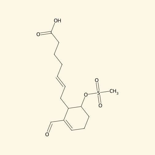 CS(=O)(=O)OC1CCC=C(C=O)C1CC=CCCCC(=O)O